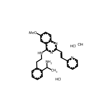 COc1ccc2nc(C=Cc3ccccn3)nc(NCCc3ccccc3C(C)N)c2c1.Cl.Cl.Cl